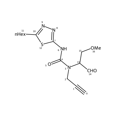 C#CCN(C(=O)Nc1nnc(CCCCCC)s1)C(C=O)COC